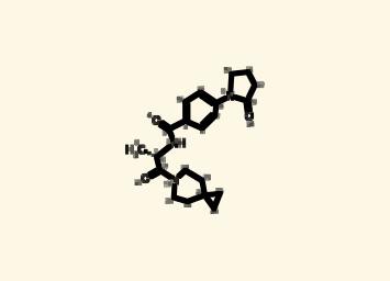 C[C@H](NC(=O)c1ccc(N2CCCC2=O)cc1)C(=O)N1CCC2(CC1)CC2